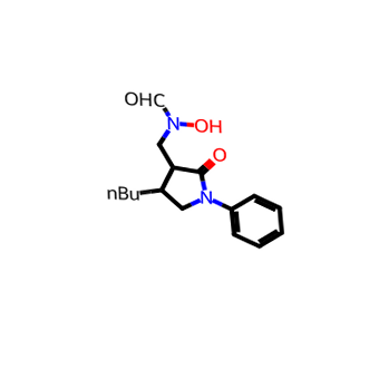 CCCCC1CN(c2ccccc2)C(=O)C1CN(O)C=O